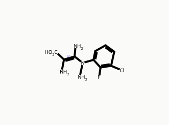 N/C(C(=O)O)=C(/N)N(N)c1cccc(Cl)c1F